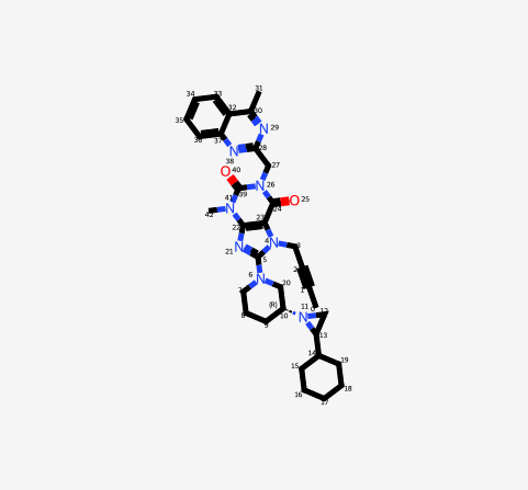 CC#CCn1c(N2CCC[C@@H](N3CC3C3CCCCC3)C2)nc2c1c(=O)n(Cc1nc(C)c3ccccc3n1)c(=O)n2C